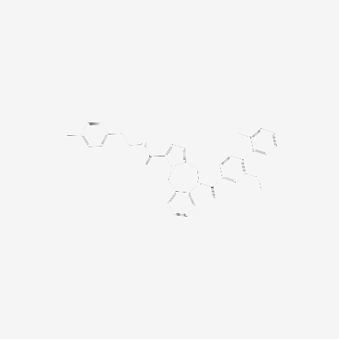 COc1cc(C(=O)N2Cc3ccc(C(=O)NCCc4ccc(Cl)cc4)n3Cc3ccccc32)ccc1-c1ccccc1C